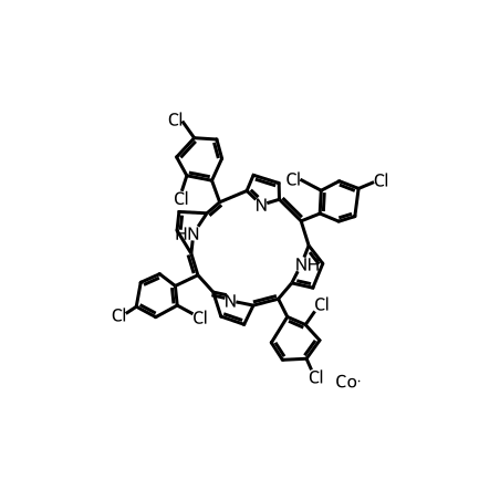 Clc1ccc(-c2c3nc(c(-c4ccc(Cl)cc4Cl)c4ccc([nH]4)c(-c4ccc(Cl)cc4Cl)c4nc(c(-c5ccc(Cl)cc5Cl)c5ccc2[nH]5)C=C4)C=C3)c(Cl)c1.[Co]